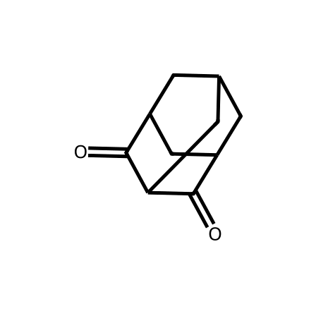 O=C1C2CC3CC(C2)C(=O)C1C3